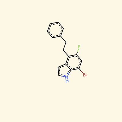 Fc1cc(Br)c2[nH]ccc2c1CCc1ccccc1